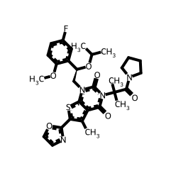 COc1ccc(F)cc1[C@H](Cn1c(=O)n(C(C)(C)C(=O)N2CCCC2)c(=O)c2c(C)c(-c3ncco3)sc21)OC(C)C